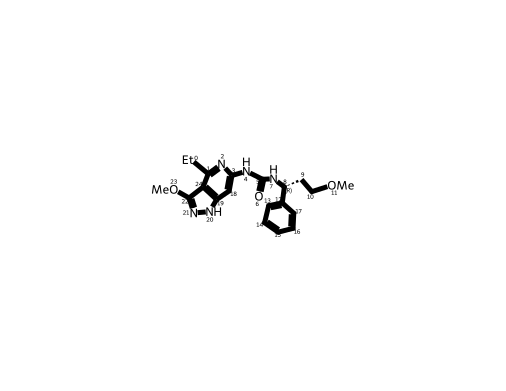 CCc1nc(NC(=O)N[C@H](CCOC)c2ccccc2)cc2[nH]nc(OC)c12